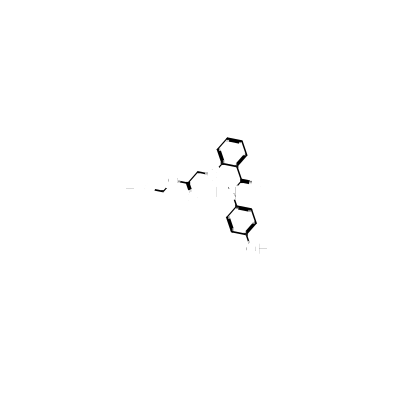 CCOC(=O)COc1ccccc1C(=O)Nc1ccc(O)cc1